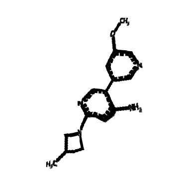 COc1cncc(-c2cnc(N3CC(C)C3)cc2N)c1